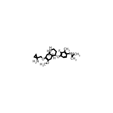 C=C(C)Nc1ccc(O[C@H]2CCN[C@H]3CC(OCC4(N)CC4)=C(OC)C[C@H]32)c(F)c1C